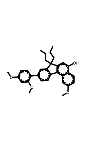 CCCC1(CCC)c2cc(-c3ccc(OC)cc3OC)ccc2-c2c1cc(O)c1ccc(OC)cc21